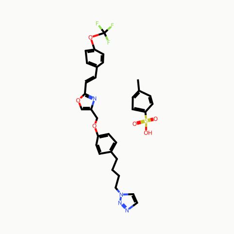 Cc1ccc(S(=O)(=O)O)cc1.FC(F)(F)Oc1ccc(C=Cc2nc(COc3ccc(CCCCn4ccnn4)cc3)co2)cc1